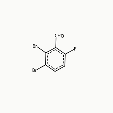 O=Cc1c(F)ccc(Br)c1Br